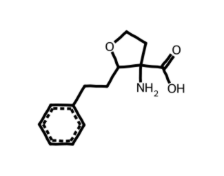 NC1(C(=O)O)CCOC1CCc1ccccc1